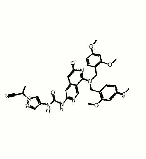 COc1ccc(CN(Cc2ccc(OC)cc2OC)c2nc(Cl)cc3cc(NC(=O)Nc4cnn(C(C)C#N)c4)ncc23)c(OC)c1